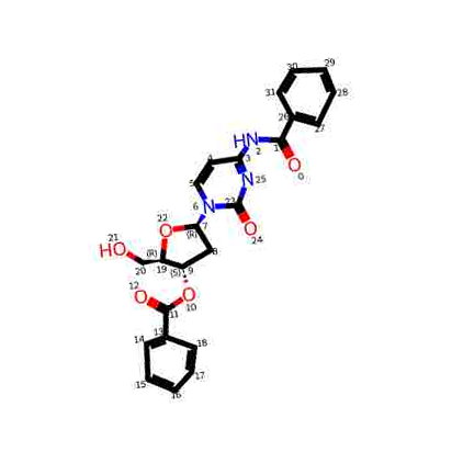 O=C(Nc1ccn([C@H]2C[C@H](OC(=O)c3ccccc3)[C@@H](CO)O2)c(=O)n1)c1ccccc1